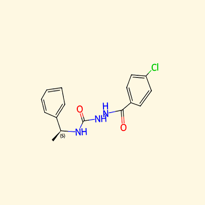 C[C@H](NC(=O)NNC(=O)c1ccc(Cl)cc1)c1ccccc1